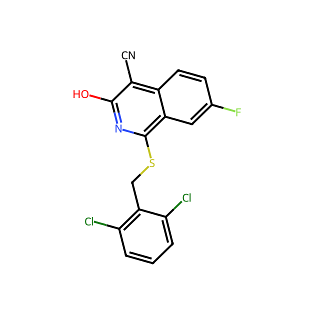 N#Cc1c(O)nc(SCc2c(Cl)cccc2Cl)c2cc(F)ccc12